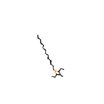 CCCCCCCCCCCCCCP1C(CC)C(C)C1CC